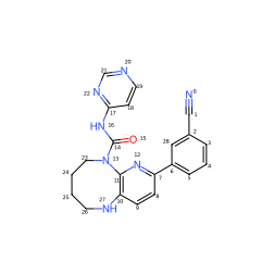 N#Cc1cccc(-c2ccc3c(n2)N(C(=O)Nc2ccncn2)CCCCN3)c1